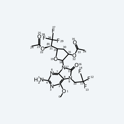 COc1nc(N)nc2c1n(CC(F)(F)F)c(=O)n2C1OC([C@@H](OC(C)=O)C(F)(F)F)CC1OC(C)=O